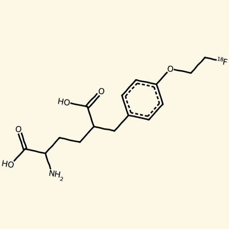 NC(CCC(Cc1ccc(OCC[18F])cc1)C(=O)O)C(=O)O